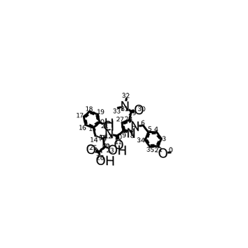 COc1ccc(Cn2nc(C(=O)N[C@H](Cc3ccccc3Cl)[C@@H](O)C(=O)O)cc2C(=O)N(C)C)cc1